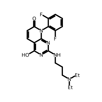 CCN(CC)CCCNc1nc(O)c2ccc(=O)n(-c3c(F)cccc3F)c2n1